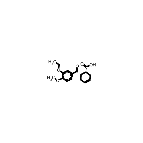 CCOc1cc(C(=O)[C@H]2CC=CC[C@H]2C(=O)O)ccc1OC